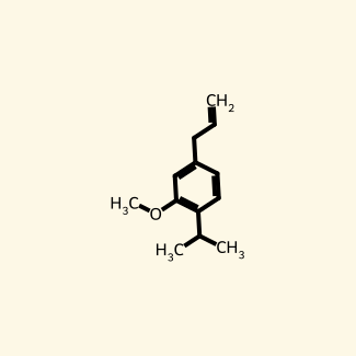 C=CCc1ccc(C(C)C)c(OC)c1